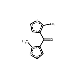 Cc1sccc1C(=O)c1ccsc1C